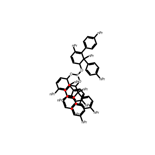 CCCC1=C(c2ccc(CCC)cc2)C(CCC)(c2ccc(CCC)cc2)C(OP(OC2C=CC(CCC)=C(c3ccc(CCC)cc3)C2(CCC)c2ccc(CCC)cc2)OC2C=CC(CCC)=C(c3ccc(CCC)cc3)C2(CCC)c2ccc(CCC)cc2)C=C1